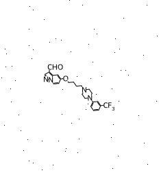 O=Cc1cnn2ccc(OCCCCN3CCN(c4cccc(C(F)(F)F)c4)CC3)cc12